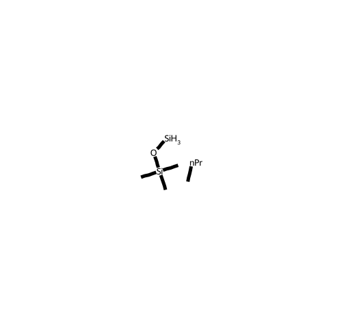 CCCC.C[Si](C)(C)O[SiH3]